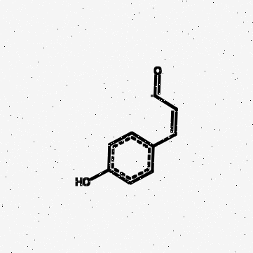 O=[C]/C=C\c1ccc(O)cc1